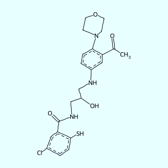 CC(=O)c1cc(NCC(O)CNC(=O)c2cc(Cl)ccc2S)ccc1N1CCOCC1